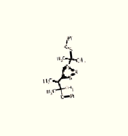 CC(C)OSC(C)(C)n1cc(C(C)C(C)(C)OC(C)C)nn1